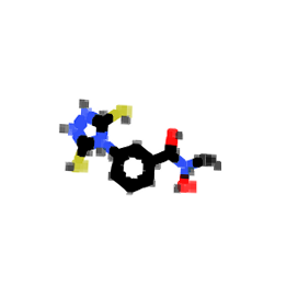 CN(O)C(=O)c1cccc(-n2c(S)nnc2S)c1